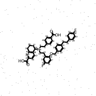 O=C(O)c1ccc(CCN(CCc2cc(F)ccc2OCc2ccc(CCc3ccc(F)cc3)cc2)C2CCCc3nc(C(=O)O)ccc32)cc1